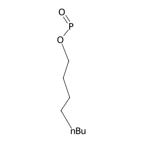 CCCCCCCCOP=O